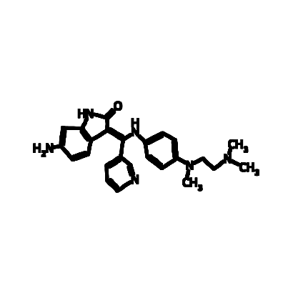 CN(C)CCN(C)c1ccc(N/C(=C2\C(=O)Nc3cc(N)ccc32)c2cccnc2)cc1